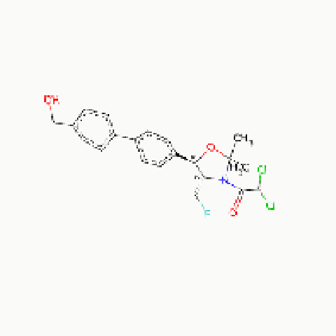 CC1(C)O[C@H](c2ccc(-c3ccc(CO)cc3)cc2)[C@@H](CF)N1C(=O)C(Cl)Cl